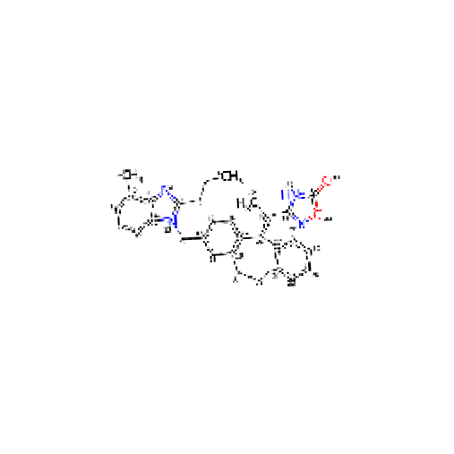 CCCc1nc2c(C)cccc2n1Cc1ccc2c(c1)CCc1ccccc1C2=C(C)c1noc(=O)[nH]1